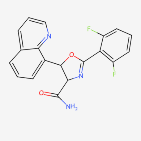 NC(=O)C1N=C(c2c(F)cccc2F)OC1c1cccc2cccnc12